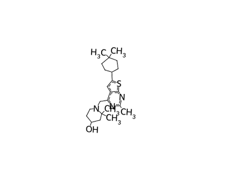 Cc1nc(CN2CCC(O)CC2(C)C)c2cc(C3CCC(C)(C)CC3)sc2n1